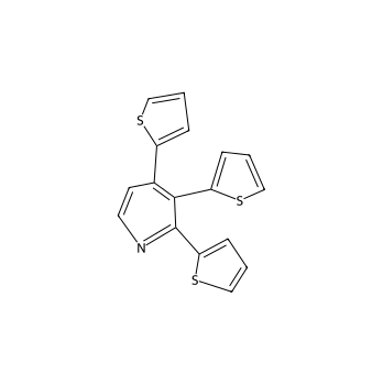 c1csc(-c2ccnc(-c3cccs3)c2-c2cccs2)c1